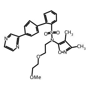 COCCOCCN(c1onc(C)c1C)S(=O)(=O)c1ccccc1-c1ccc(-c2cnccn2)cc1